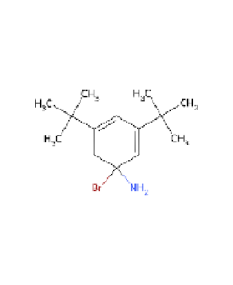 CC(C)(C)C1=CC(N)(Br)CC(C(C)(C)C)=C1